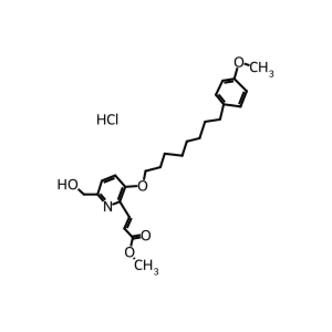 COC(=O)C=Cc1nc(CO)ccc1OCCCCCCCCc1ccc(OC)cc1.Cl